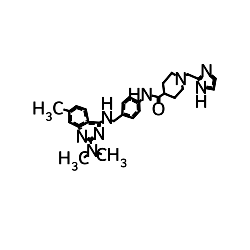 Cc1ccc2c(NCc3ccc(NC(=O)C4CCN(Cc5ncc[nH]5)CC4)cc3)nc(N(C)C)nc2c1